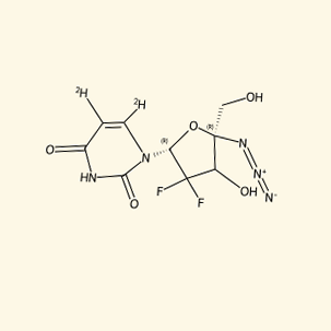 [2H]c1c([2H])n([C@@H]2O[C@@](CO)(N=[N+]=[N-])C(O)C2(F)F)c(=O)[nH]c1=O